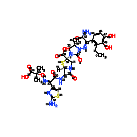 CCc1c(/C(=N/N2C(=O)N([C@]3(C(=O)O)CN4C(=O)C(NC(=O)/C(=N\OC(C)(C)C(=O)O)c5csc(N)n5)[C@H]4S3)C[C@H]2C)C(N)=O)ccc(O)c1O